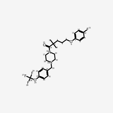 CC(C)(CCCOc1ccc(F)cc1)C(=O)N1CCN(Cc2ccc(OC(F)(F)F)cc2)CC1